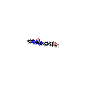 CCOc1ccc(-c2ccc(N3CCN(CC(=O)N4CCN(C5CCC5)CC4)CC3)cc2)cc1